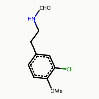 COc1ccc(CCNC=O)cc1Cl